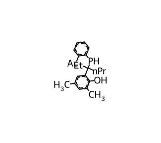 CCCC(CC)(Pc1ccccc1C(C)=O)c1cc(C)cc(C)c1O